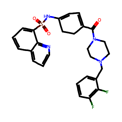 O=C(C1=CC=C(NS(=O)(=O)c2cccc3cccnc23)CC1)N1CCN(Cc2cccc(F)c2F)CC1